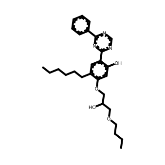 CCCCCCc1cc(-c2ncnc(-c3ccccc3)n2)c(O)cc1OCC(O)COCCCC